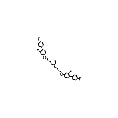 C=CC(CCCCOc1ccc(-c2ccc(F)cc2)c(F)c1)CCCCOc1ccc(-c2ccc(F)cc2)c(F)c1